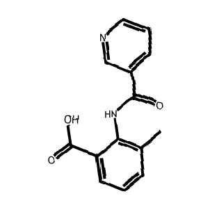 Cc1cccc(C(=O)O)c1NC(=O)c1cccnc1